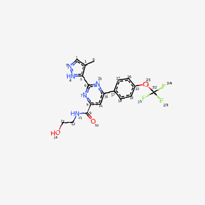 Cc1cn[nH]c1-c1nc(C(=O)NCCO)cc(-c2ccc(OC(F)(F)F)cc2)n1